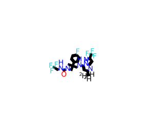 [2H]C([2H])([2H])c1cc(NCC2(c3ccc(F)cc3)CN(C(=O)NCC(F)(F)F)C2)n2nc(C(F)(F)F)cc2n1